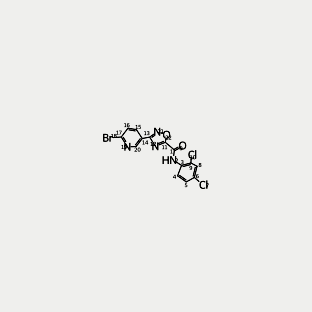 O=C(Nc1ccc(Cl)cc1Cl)c1nc(-c2ccc(Br)nc2)no1